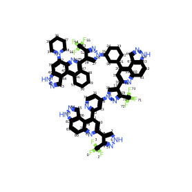 FC(F)(F)c1n[nH]cc1-c1cc(-c2cc(-n3cc(-c4cc(C5CCCC(n6cc(-c7nc8c(N9CCCCC9)cc9[nH]ncc9c8c8c7CCCC8)c(C(F)(F)F)n6)C5)c5c(ccc6[nH]ncc65)n4)c(C(F)(F)F)n3)ccn2)c2c(ccc3[nH]ncc32)n1